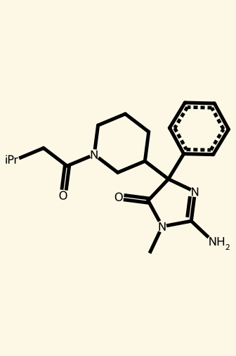 CC(C)CC(=O)N1CCCC(C2(c3ccccc3)N=C(N)N(C)C2=O)C1